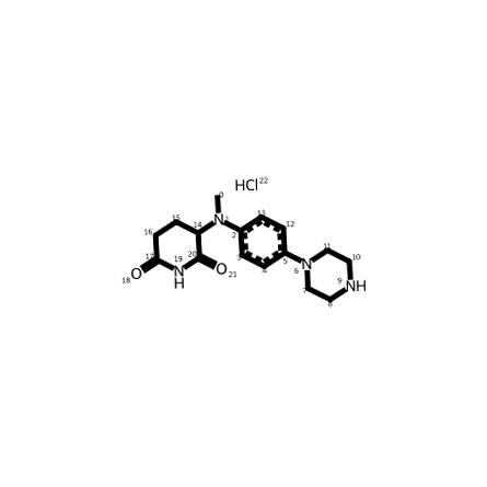 CN(c1ccc(N2CCNCC2)cc1)C1CCC(=O)NC1=O.Cl